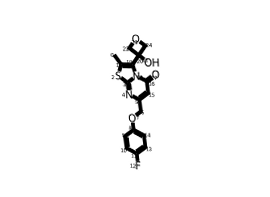 Cc1sc2nc(COc3ccc(F)cc3)cc(=O)n2c1C1(O)COC1